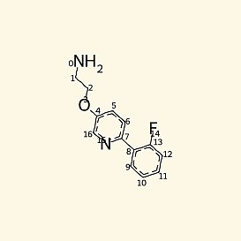 NCCOc1ccc(-c2ccccc2F)nc1